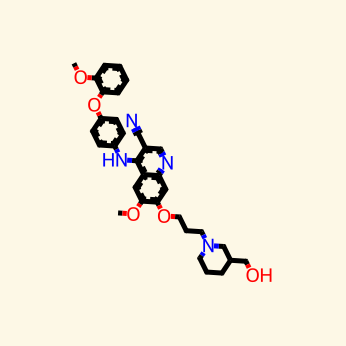 COc1cc2c(Nc3ccc(Oc4ccccc4OC)cc3)c(C#N)cnc2cc1OCCCN1CCCC(CO)C1